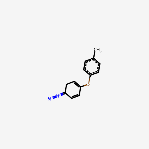 Cc1ccc(SC2=CCC(=[N+]=[N-])C=C2)cc1